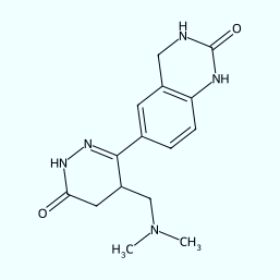 CN(C)CC1CC(=O)NN=C1c1ccc2c(c1)CNC(=O)N2